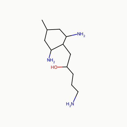 CC1CC(N)C(CC(O)CCCN)C(N)C1